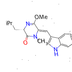 COC1=N[C@@H](CC(C)C)C(=O)N(C)/C1=C\c1c[nH]c2ccccc12